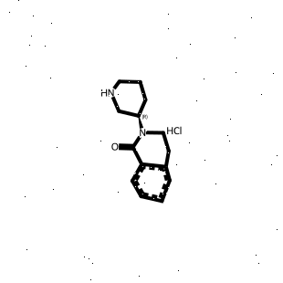 Cl.O=C1c2ccccc2CCN1[C@@H]1CCCNC1